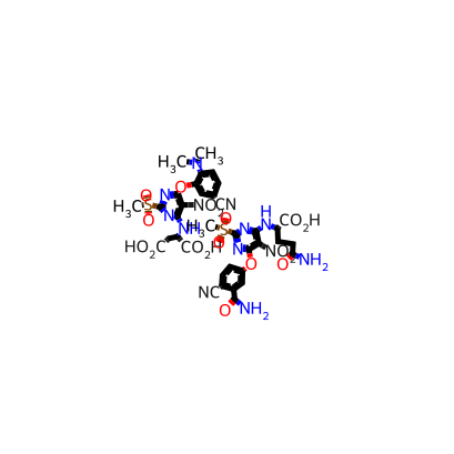 CN(C)c1ccc(C#N)cc1Oc1nc(S(C)(=O)=O)nc(NC(CC(=O)O)C(=O)O)c1[N+](=O)[O-].CS(=O)(=O)c1nc(NC(CCC(N)=O)C(=O)O)c([N+](=O)[O-])c(Oc2ccc(C#N)c(C(N)=O)c2)n1